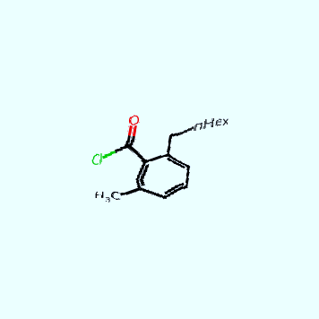 CCCCCCCc1cccc(C)c1C(=O)Cl